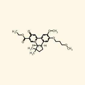 CCOC(=O)c1cn2c(cc1=O)-c1cc(OC)c(OCCCOC)cc1[C@H]1CCC(C)(C)[C@@H]12